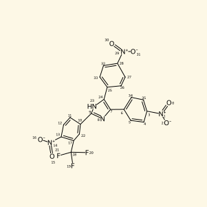 O=[N+]([O-])c1ccc(-c2nc(-c3ccc([N+](=O)[O-])c(C(F)(F)F)c3)[nH]c2-c2ccc([N+](=O)[O-])cc2)cc1